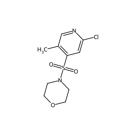 Cc1cnc(Cl)cc1S(=O)(=O)N1CCOCC1